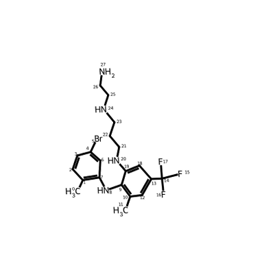 Cc1ccc(Br)cc1Nc1c(C)cc(C(F)(F)F)cc1NCCCNCCN